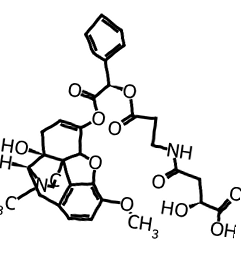 COc1ccc2c3c1OC1C(OC(=O)[C@H](OC(=O)CCNC(=O)C[C@H](O)C(=O)O)c4ccccc4)=CC[C@@]4(O)[C@@H](C2)N(C)CCC314